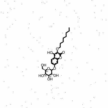 CCCCCCCCOc1c(O)c2ccc(OC3O[C@H](CO)[C@H](O)[C@H](O)[C@H]3O)cc2oc1=O